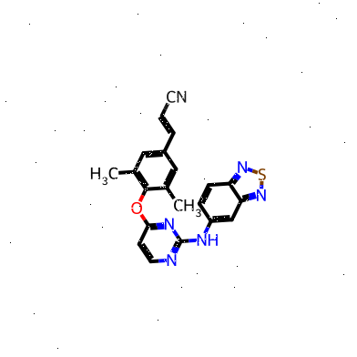 Cc1cc(/C=C/C#N)cc(C)c1Oc1ccnc(Nc2ccc3nsnc3c2)n1